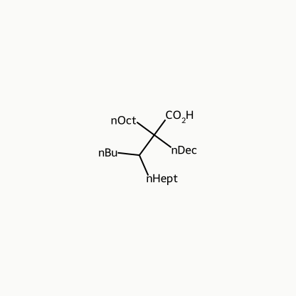 CCCCCCCCCCC(CCCCCCCC)(C(=O)O)C(CCCC)CCCCCCC